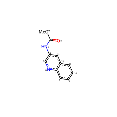 COC(=O)Nc1cnc2ccccc2c1